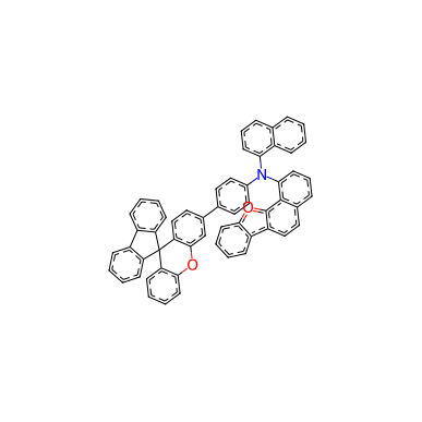 c1ccc2c(c1)Oc1cc(-c3ccc(N(c4cccc5ccccc45)c4cccc5ccc6c7ccccc7oc6c45)cc3)ccc1C21c2ccccc2-c2ccccc21